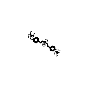 O=S(=O)(CCc1ccc(OC(F)(F)F)cc1)CCc1ccc(OC(F)(F)F)cc1